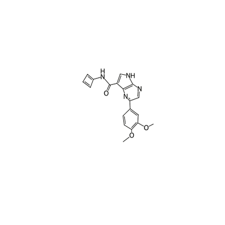 COc1ccc(-c2cnc3[nH]cc(C(=O)NC4=CC=C4)c3n2)cc1OC